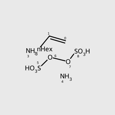 C=CCCCCCC.N.N.O=S(=O)(O)OOS(=O)(=O)O